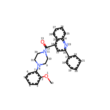 COc1ccccc1N1CCN(C(=O)c2cc(-c3ccccc3)nc3ccccc23)CC1